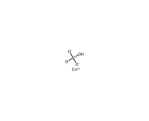 [Co+3].[O-][I+3]([O-])([O-])O